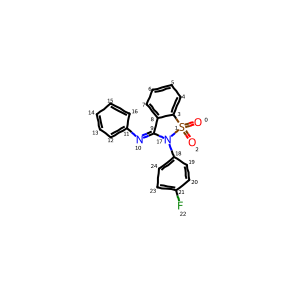 O=S1(=O)c2ccccc2C(=Nc2ccccc2)N1c1ccc(F)cc1